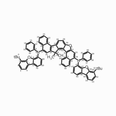 CC(C)(C)c1cccc2c1oc1c(N(c3ccccc3)c3cc4c(c5ccccc35)-c3ccc5oc6cc(N(c7ccccc7)c7cccc8c7oc7c(C(C)(C)C)cccc78)c7ccccc7c6c5c3C4(C)C)cccc12